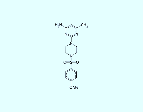 COc1ccc(S(=O)(=O)N2CCN(c3nc(C)cc(N)n3)CC2)cc1